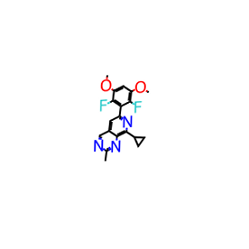 COc1cc(OC)c(F)c(-c2cc3cnc(C)nc3c(C3CC3)n2)c1F